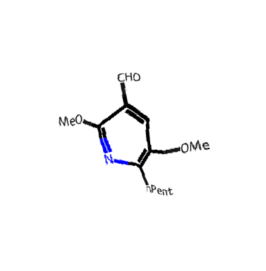 CCCCCc1nc(OC)c(C=O)cc1OC